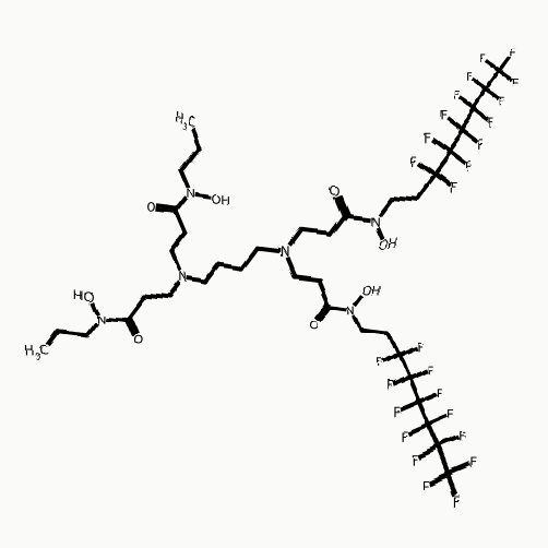 CCCN(O)C(=O)CCN(CCCCN(CCC(=O)N(O)CCC(F)(F)C(F)(F)C(F)(F)C(F)(F)C(F)(F)C(F)(F)F)CCC(=O)N(O)CCC(F)(F)C(F)(F)C(F)(F)C(F)(F)C(F)(F)C(F)(F)F)CCC(=O)N(O)CCC